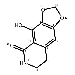 O=C1NCCc2cc3c(c(O)c21)OCO3